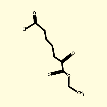 CCOC(=O)C(=O)CCCCC(=O)Cl